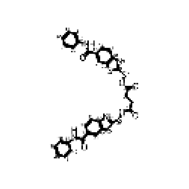 O=C(CCC(=O)OSc1nc2ccc(C(=O)Nc3ccccc3)cc2s1)OSc1nc2ccc(C(=O)Nc3ccccc3)cc2s1